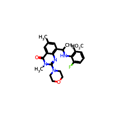 Cc1cc(C(C)Nc2c(F)cccc2C(=O)O)c2nc(N3CCOCC3)n(C)c(=O)c2c1